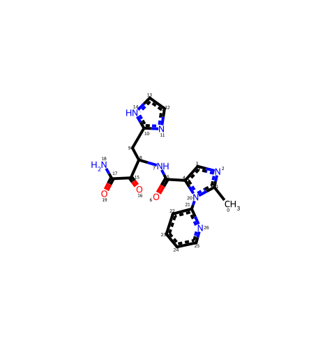 Cc1ncc(C(=O)NC(Cc2ncc[nH]2)C(=O)C(N)=O)n1-c1ccccn1